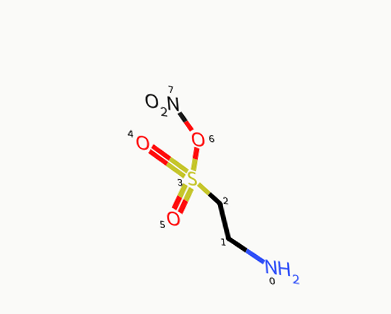 NCCS(=O)(=O)O[N+](=O)[O-]